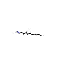 CCCCC/C=C/CC(O)C(CCCCCCCC(=O)O)OCC